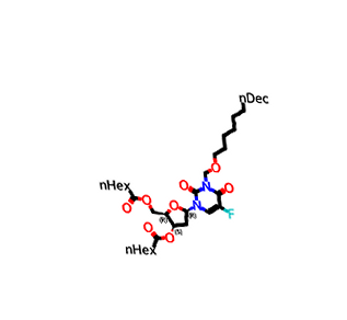 CCCCCCCCCCCCCCCCOCn1c(=O)c(F)cn([C@H]2C[C@H](OC(=O)CCCCCC)[C@@H](COC(=O)CCCCCC)O2)c1=O